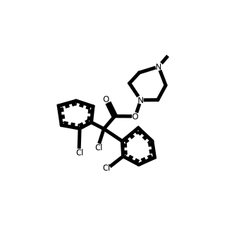 CN1CCN(OC(=O)C(Cl)(c2ccccc2Cl)c2ccccc2Cl)CC1